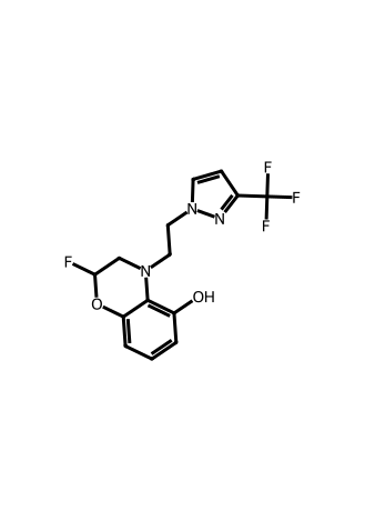 Oc1cccc2c1N(CCn1ccc(C(F)(F)F)n1)CC(F)O2